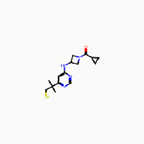 CC(C)(CS)c1cc(NC2CN(C(=O)C3CC3)C2)ncn1